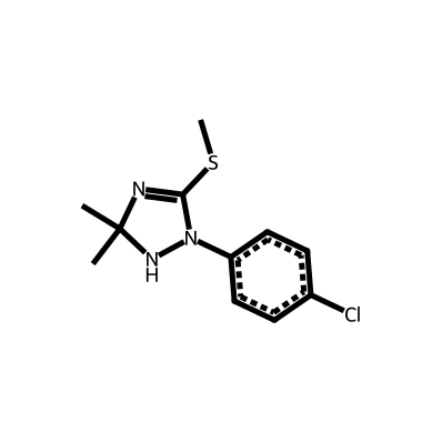 CSC1=NC(C)(C)NN1c1ccc(Cl)cc1